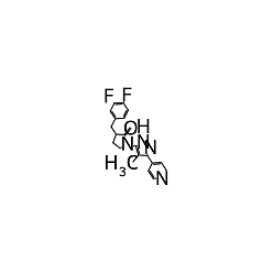 Cc1c(-c2ccncc2)n[nH]c1N1CCC(Cc2ccc(F)c(F)c2)C1=O